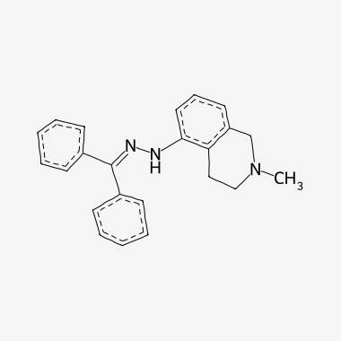 CN1CCc2c(cccc2NN=C(c2ccccc2)c2ccccc2)C1